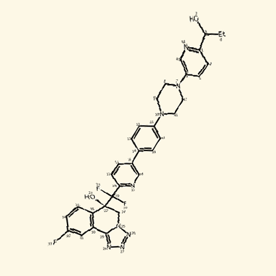 CCC(O)c1ccc(N2CCN(c3ccc(-c4ccc(C(F)(F)[C@]5(O)Cn6nnnc6-c6cc(F)ccc65)nc4)cc3)CC2)cn1